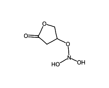 O=C1CC(ON(O)O)CO1